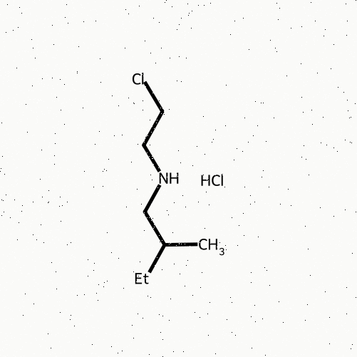 CCC(C)CNCCCl.Cl